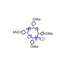 COc1ccc(-c2c3nc(c(-c4ccc(OC)cc4)c4cc(N5CCOCC5)c([nH]4)c(-c4ccc(OC)cc4)c4nc(c(-c5ccc(OC)cc5)c5ccc2[nH]5)C=C4)C=C3)cc1